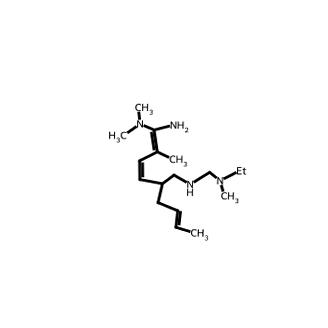 CC=CCC(/C=C\C(C)=C(\N)N(C)C)CNCN(C)CC